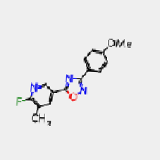 COc1ccc(-c2noc(-c3cnc(F)c(C)c3)n2)cc1